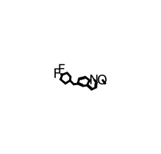 COc1ccc2cc(CC3CCC(F)(F)CC3)ccc2n1